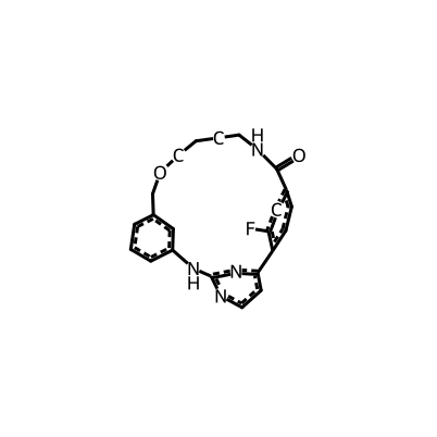 O=C1NCCCCOCc2cccc(c2)Nc2nccc(n2)-c2ccc1cc2F